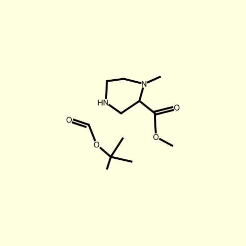 CC(C)(C)OC=O.COC(=O)C1CNCCN1C